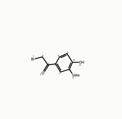 CSc1cc(C(=O)CBr)ccc1O